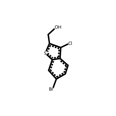 OCc1sc2cc(Br)ccc2c1Cl